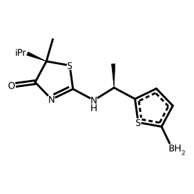 Bc1ccc([C@H](C)NC2=NC(=O)[C@@](C)(C(C)C)S2)s1